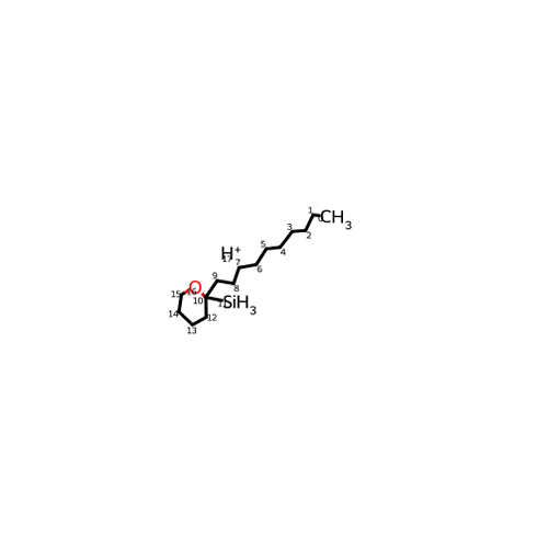 CCCCCCCCCCC1([SiH3])CCCCO1.[H+]